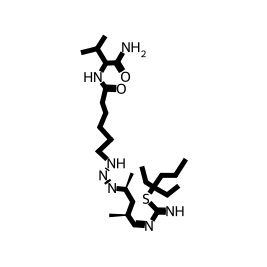 CCCC(CC)(CC)SC(=N)/N=C\[C@@H](C)C[C@H](C)/N=N\NCCCCCC(=O)NC(C(N)=O)C(C)C